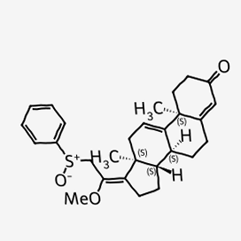 COC(C[S+]([O-])c1ccccc1)=C1CC[C@H]2[C@@H]3CCC4=CC(=O)CC[C@]4(C)C3=CC[C@]12C